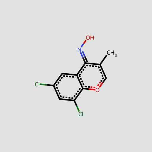 Cc1coc2c(Cl)cc(Cl)cc2c1=NO